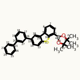 CC1(C)OB(c2cccc3c2sc2ccc(-c4cccc(-c5ccccc5)c4)cc23)OC1(C)C